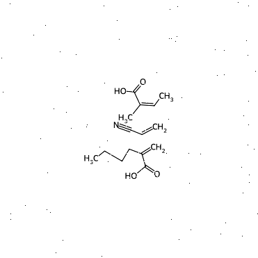 C=C(CCCC)C(=O)O.C=CC#N.CC=C(C)C(=O)O